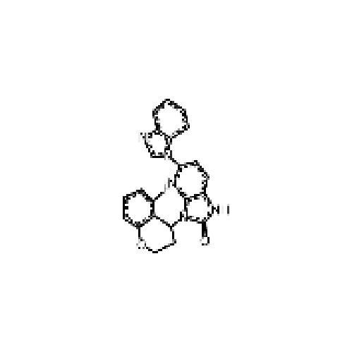 O=c1[nH]c2ccc(-n3cnc4ccccc43)nc2n1C1CCOc2cccc(F)c21